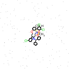 CS(=O)(=O)N(CCc1c(CCOc2ccc(C(=O)O)cc2)c2cc(Cl)ccc2n1C(c1ccccc1)c1ccccc1)Sc1cc(Cl)cc(Cl)c1